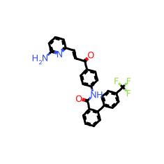 Nc1cccc(C=CC(=O)c2ccc(NC(=O)c3ccccc3-c3ccc(C(F)(F)F)cc3)cc2)n1